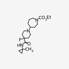 CCOC(=O)N1CCCC(N2CCC(F)(C(=O)NC3(C)CC3)CC2)CC1